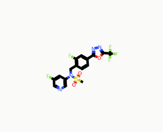 CS(=O)(=O)N(Cc1ccc(-c2nnc(C(F)(F)F)o2)cc1F)c1cncc(F)c1